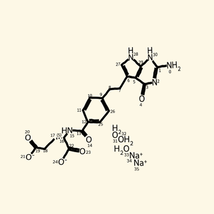 Nc1nc(=O)c2c(CCc3ccc(C(=O)N[C@@H](CCC(=O)[O-])C(=O)[O-])cc3)c[nH]c2[nH]1.O.O.O.[Na+].[Na+]